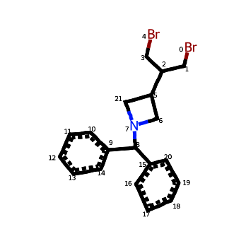 BrCC(CBr)C1CN(C(c2ccccc2)c2ccccc2)C1